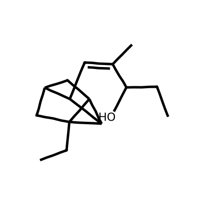 CCC(O)C(C)=CC1C2CC3C1C3(CC)C2